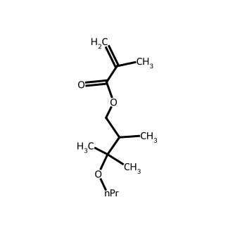 C=C(C)C(=O)OCC(C)C(C)(C)OCCC